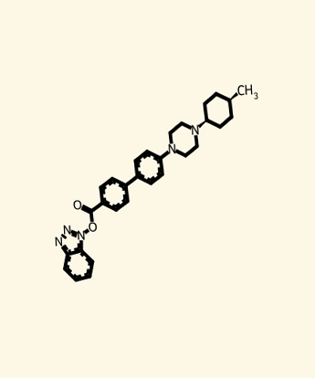 C[C@H]1CC[C@@H](N2CCN(c3ccc(-c4ccc(C(=O)On5nnc6ccccc65)cc4)cc3)CC2)CC1